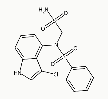 NS(=O)(=O)CN(c1cccc2[nH]cc(Cl)c12)S(=O)(=O)c1ccccc1